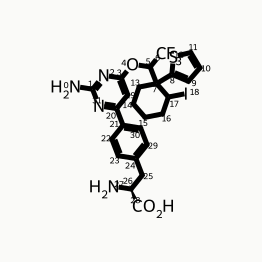 Nc1nc(OC(C(F)(F)F)C2(c3cccs3)CCCCC2I)cc(-c2ccc(C[C@H](N)C(=O)O)cc2)n1